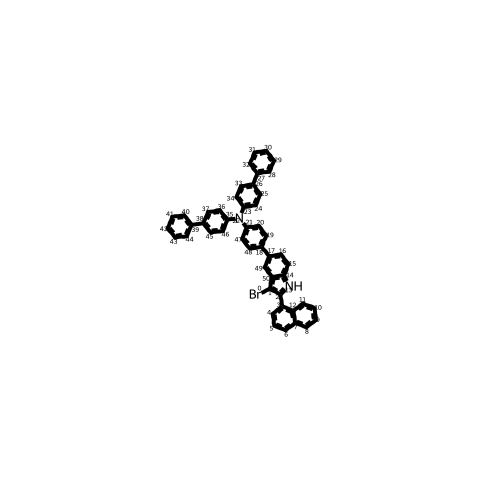 Brc1c(-c2cccc3ccccc23)[nH]c2ccc(-c3ccc(N(c4ccc(-c5ccccc5)cc4)c4ccc(-c5ccccc5)cc4)cc3)cc12